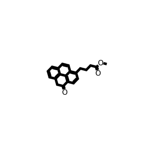 COC(=O)CCCc1ccc2c3c1ccc1cccc(c13)CC2=O